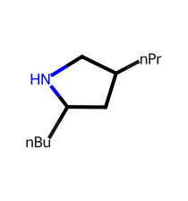 CCCCC1CC(CCC)CN1